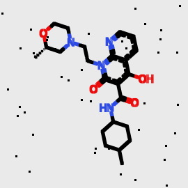 CC1CCC(NC(=O)c2c(O)c3cccnc3n(CCN3CCO[C@@H](C)C3)c2=O)CC1